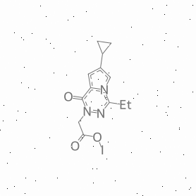 CCc1nn(CC(=O)OI)c(=O)c2cc(C3CC3)cn12